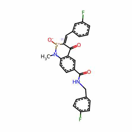 CN1c2ccc(C(=O)NCc3ccc(F)cc3)cc2C(=O)/C(=C\c2cccc(F)c2)[S+]1[O-]